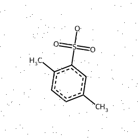 Cc1ccc(C)c(S([O])(=O)=O)c1